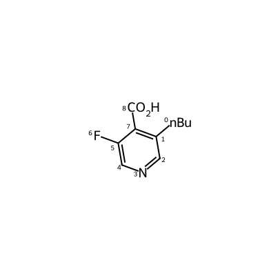 CCCCc1cncc(F)c1C(=O)O